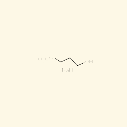 O=C(O)OCCCO.[NaH]